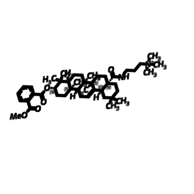 COC(=O)c1ccccc1C(=O)O[C@H]1CC[C@]2(C)[C@H]3CC=C4[C@@H]5CC(C)(C)CC[C@]5(C(=O)NCCC[N+](C)(C)C)CC[C@@]4(C)[C@]3(C)CC[C@H]2C1(C)C